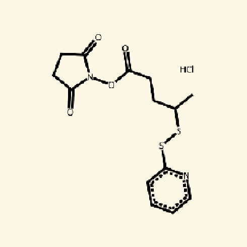 CC(CCC(=O)ON1C(=O)CCC1=O)SSc1ccccn1.Cl